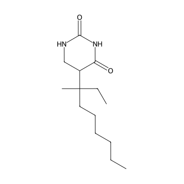 CCCCCCC(C)(CC)C1CNC(=O)NC1=O